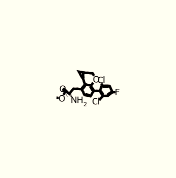 COC(=O)[C@@H](N)Cc1ccc(-c2c(Cl)cc(F)cc2Cl)c2c1C1CC1CO2